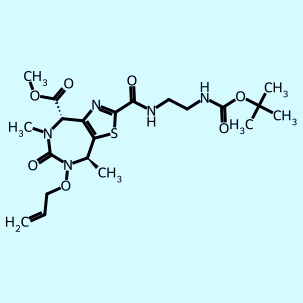 C=CCON1C(=O)N(C)[C@H](C(=O)OC)c2nc(C(=O)NCCNC(=O)OC(C)(C)C)sc2[C@H]1C